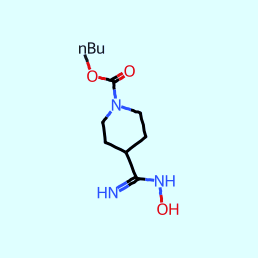 CCCCOC(=O)N1CCC(C(=N)NO)CC1